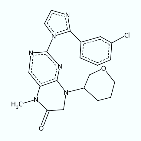 CN1C(=O)CN(C2CCCOC2)c2nc(-n3ccnc3-c3cccc(Cl)c3)ncc21